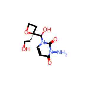 Nn1c(=O)ccn([C@H](O)[C@]2(CCO)CCO2)c1=O